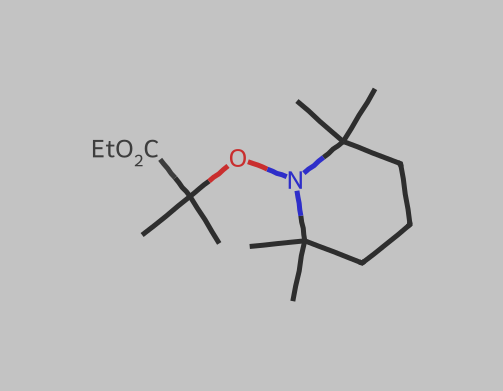 CCOC(=O)C(C)(C)ON1C(C)(C)CCCC1(C)C